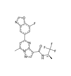 Cc1cc(-c2cc(F)c3ocnc3c2)nc2c(C(=O)N[C@H](C)C(F)(F)F)cnn12